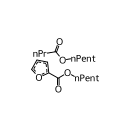 CCCCCOC(=O)CCC.CCCCCOC(=O)c1ccco1